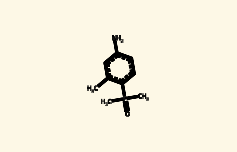 Cc1cc(N)ccc1P(C)(C)=O